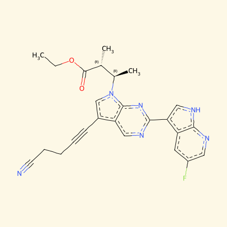 CCOC(=O)[C@H](C)[C@@H](C)n1cc(C#CCCC#N)c2cnc(-c3c[nH]c4ncc(F)cc34)nc21